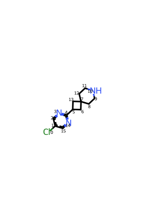 Clc1cnc(C2CC3(CCNCC3)C2)nc1